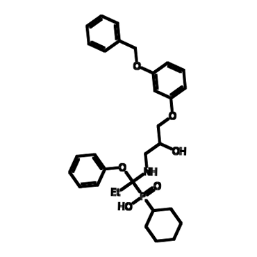 CCC(NCC(O)COc1cccc(OCc2ccccc2)c1)(Oc1ccccc1)P(=O)(O)C1CCCCC1